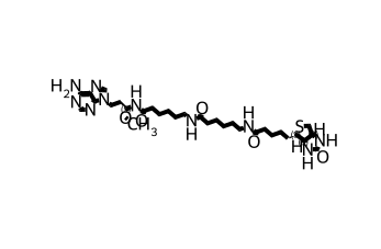 CO[C@@H](CCn1cnc2c(N)ncnc21)NC(=O)CCCCCNC(=O)CCCCCNC(=O)CCCC[C@@H]1SC[C@@H]2NC(=O)N[C@@H]21